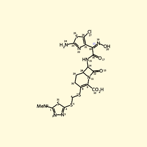 CNc1nnc(SCSC2=C(C(=O)O)N3C(=O)C(NC(=O)/C(=N\O)c4nc(N)sc4Cl)C3CC2)s1